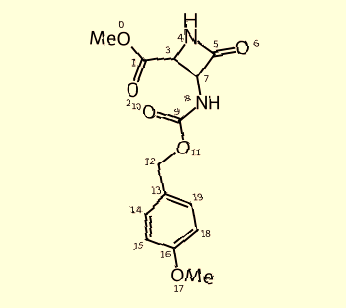 COC(=O)C1NC(=O)C1NC(=O)OCc1ccc(OC)cc1